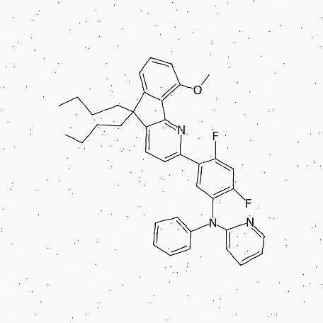 CCCCC1(CCCC)c2ccc(-c3cc(N(c4ccccc4)c4ccccn4)c(F)cc3F)nc2-c2c(OC)cccc21